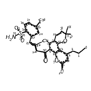 CCCc1[c]c(=O)oc2c3c(c4c(c12)OC(C)(C)C=C4)OC(=Cc1cc(F)ccc1S(N)(=O)=O)CC3=O